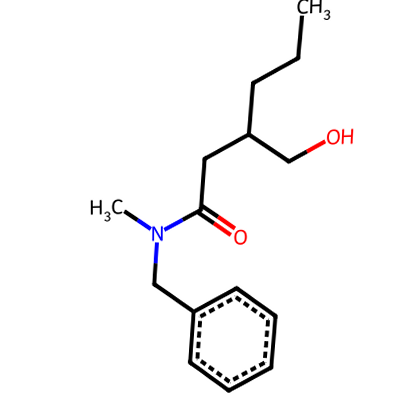 CCCC(CO)CC(=O)N(C)Cc1ccccc1